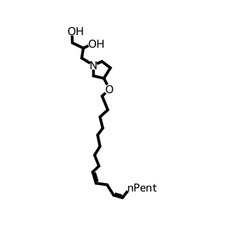 CCCCC/C=C\C/C=C\CCCCCCCCOC1CCN(CC(O)CO)C1